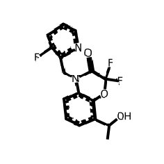 CC(O)c1cccc2c1OC(F)(F)C(=O)N2Cc1ncccc1F